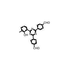 Cc1cccc(-c2nc(-c3ccc(C=O)cc3)nc(-c3ccc(C=O)cc3)n2)c1O